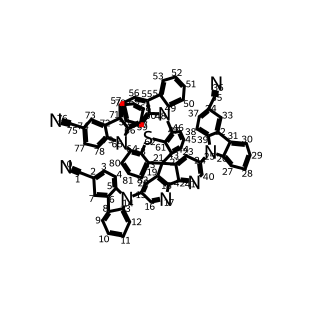 N#Cc1ccc2c(c1)c1ccccc1n2-c1cnc2c(c1)C1(c3cc(-n4c5ccccc5c5cc(C#N)ccc54)cnc3-2)c2cccc(-n3c4ccccc4c4ccccc43)c2Sc2c(-n3c4ccccc4c4cc(C#N)ccc43)cccc21